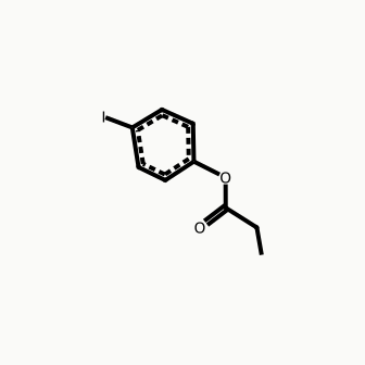 CCC(=O)Oc1ccc(I)cc1